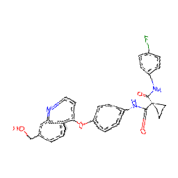 O=C(Nc1ccc(F)cc1)C1(C(=O)Nc2ccc(Oc3ccnc4cc(CO)ccc34)cc2)CC1